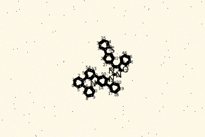 c1ccc2c(c1)-c1ccccc1-n1c3cc4c5ccccc5n(-c5nc(-c6ccc7c(c6)sc6ccccc67)c6c(n5)oc5ccccc56)c4cc3c3cccc-2c31